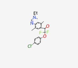 CCN(C)/C=N\c1cc(C)c(C(=O)C(F)(F)Oc2ccc(Cl)cc2)cc1C